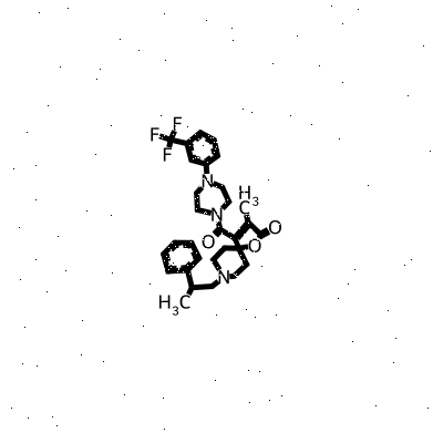 CC1=C(C(=O)N2CCN(c3cccc(C(F)(F)F)c3)CC2)C2(CCN(CC(C)c3ccccc3)CC2)OC1=O